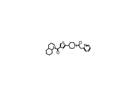 O=C(Cc1ccccn1)N1CCC(c2cc(C(=O)N3CCCC4CCCCC43)cs2)CC1